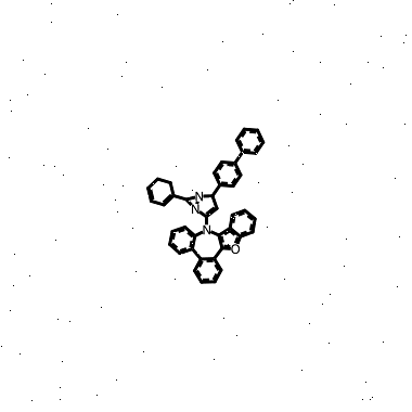 C1=CCCC(C2N3C(N4c5ccccc5-c5ccccc5-c5oc6ccccc6c54)=CC(c4ccc(-c5ccccc5)cc4)N23)=C1